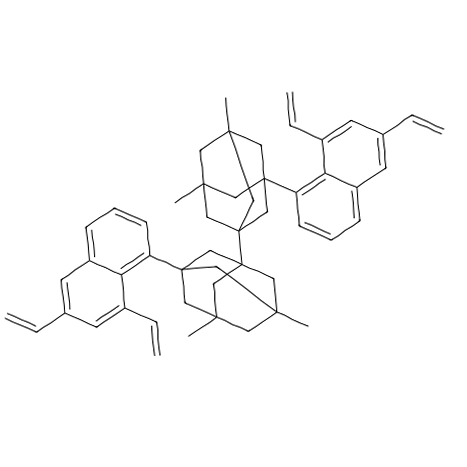 C=Cc1cc(C=C)c2c(C34CC5(C)CC(C)(C3)CC(C36CC7(C)CC(C)(CC(c8cccc9cc(C=C)cc(C=C)c89)(C7)C3)C6)(C5)C4)cccc2c1